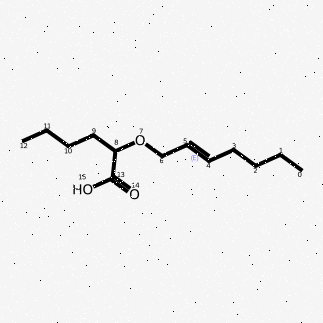 CCCC/C=C/COC(CCCC)C(=O)O